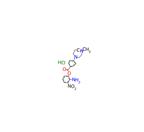 CN1CCCN(c2ccc(C(=O)Oc3cccc([N+](=O)[O-])c3N)cc2)CC1.Cl